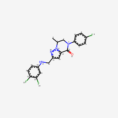 CC1CN(c2ccc(F)cc2)C(=O)c2cc(CNc3ccc(F)c(F)c3)nn21